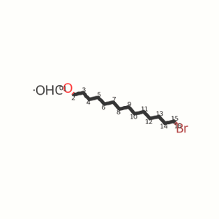 O=[C]OCCCCCCCCCCCCCCBr